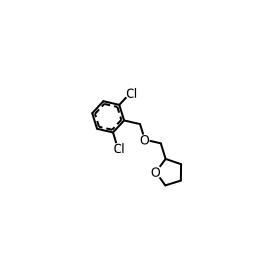 Clc1cccc(Cl)c1COCC1CCCO1